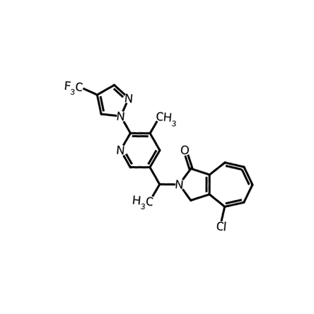 Cc1cc(C(C)N2CC3=C(C=C=CC=C3Cl)C2=O)cnc1-n1cc(C(F)(F)F)cn1